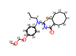 CCCN(C1=NC(=O)C2CCCCCCC2S1)c1ccc(OCOC)cc1